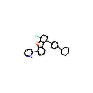 Fc1ccc(-c2ccc(C3CCCCC3)cc2)c2c1oc1c(-c3ccccn3)cccc12